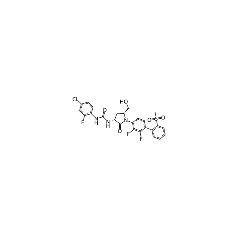 CS(=O)(=O)c1ccccc1-c1ccc(N2C(=O)[C@H](NC(=O)Nc3ccc(Cl)cc3F)C[C@H]2CO)c(F)c1F